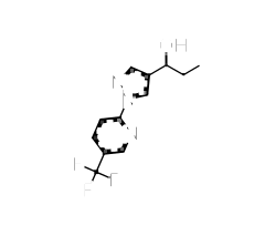 CCC(O)c1cnn(-c2ccc(C(F)(F)F)cn2)c1